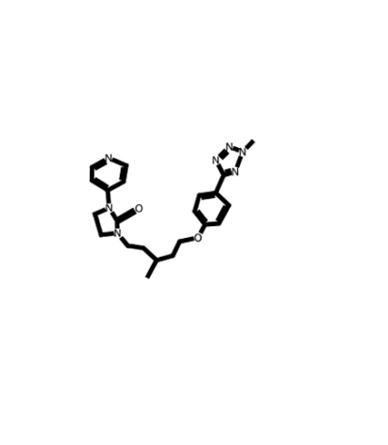 CC(CCOc1ccc(-c2nnn(C)n2)cc1)CCN1CCN(c2ccncc2)C1=O